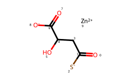 O=C([S-])CC(O)C(=O)[O-].[Zn+2]